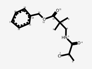 CC(Cl)C(=O)NCC(C)(C)C(=O)OCc1ccccc1